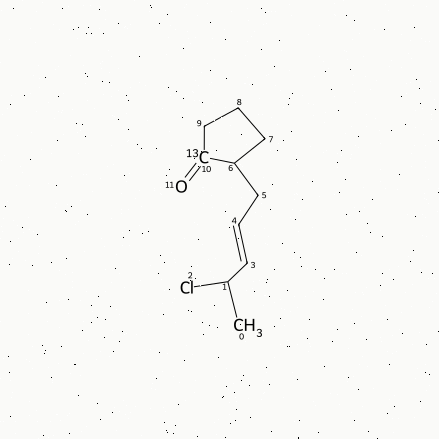 CC(Cl)C=CCC1CCC[13C]1=O